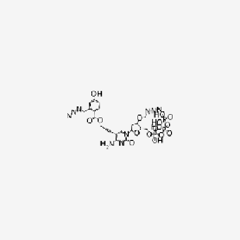 [N-]=[N+]=NCO[C@@H]1C[C@H](n2cc(C#CCOC(=O)c3ccc(O)cc3CN=[N+]=[N-])c(N)nc2=O)O[C@@H]1COP(=O)(O)OP(=O)(O)OP(=O)(O)O